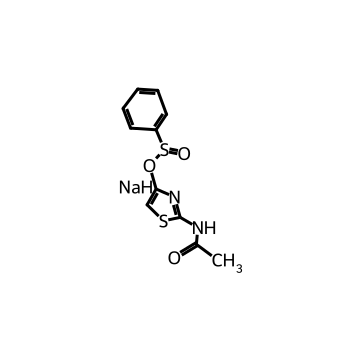 CC(=O)Nc1nc(OS(=O)c2ccccc2)cs1.[NaH]